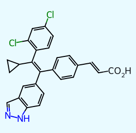 O=C(O)C=Cc1ccc(C(=C(c2ccc(Cl)cc2Cl)C2CC2)c2ccc3[nH]ncc3c2)cc1